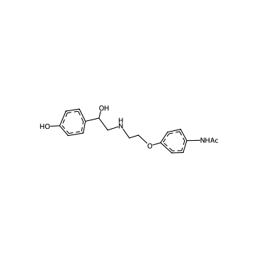 CC(=O)Nc1ccc(OCCNCC(O)c2ccc(O)cc2)cc1